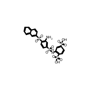 Nc1cc(S(=O)(=O)Nc2cc(S(=O)(=O)O)ccc2S(=O)(=O)O)ccc1S(=O)(=O)c1ccc2ccccc2c1